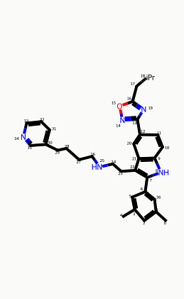 Cc1cc(C)cc(-c2[nH]c3ccc(-c4noc(CC(C)C)n4)cc3c2CCNCCCCc2cccnc2)c1